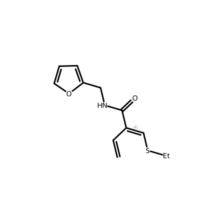 C=C/C(=C\SCC)C(=O)NCc1ccco1